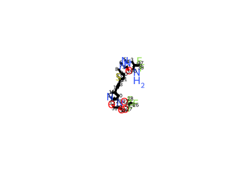 NCC(Cn1ncn(Cc2ccc(C#Cc3cnc4c(c3)N(OC(=O)C(F)(F)F)C(=O)CO4)s2)c1=O)=C(F)F